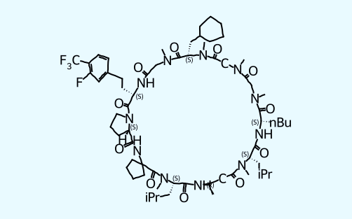 CCCC[C@@H]1NC(=O)[C@H](CC(C)C)N(C)C(=O)C[C@@H](C)NC(=O)[C@H](CC(C)C)N(C)C(=O)C2(CCCC2)NC(=O)[C@@H]2CCCN2C(=O)[C@H](CCc2ccc(C(F)(F)F)c(F)c2)NC(=O)CN(C)C(=O)[C@H](CC2CCCCC2)N(C)C(=O)CN(C)C(=O)CN(C)C1=O